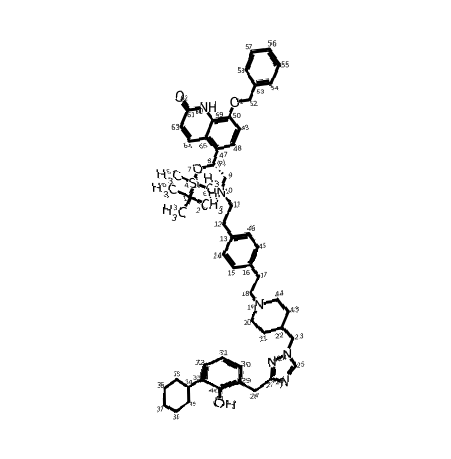 CC(C)(C)[Si](C)(C)O[C@@H](CNCCc1ccc(CCN2CCC(Cn3cnc(Cc4cccc(C5CCCCC5)c4O)n3)CC2)cc1)c1ccc(OCc2ccccc2)c2[nH]c(=O)ccc12